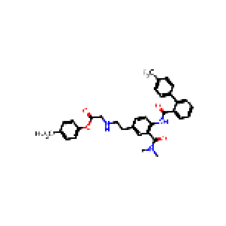 CN(C)C(=O)c1cc(CCNCC(=O)Oc2ccc(C(=O)O)cc2)ccc1NC(=O)c1ccccc1-c1ccc(C(F)(F)F)cc1